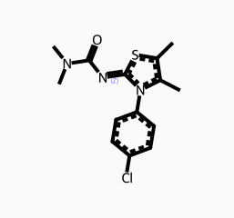 Cc1s/c(=N\C(=O)N(C)C)n(-c2ccc(Cl)cc2)c1C